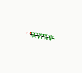 OCC(F)(F)C(F)(F)C(F)(F)C(F)(F)C(F)(F)C(F)(F)C(F)(F)C(F)(F)C(F)(F)C(F)(F)C(F)(F)C(F)(F)C(F)(F)C(F)(F)C(F)(F)F